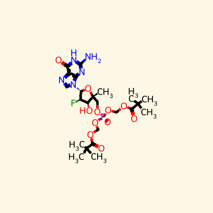 CC(C)(C)C(=O)OCOP(=O)(OCOC(=O)C(C)(C)C)OC[C@@]1(C)O[C@@H](n2cnc3c(=O)[nH]c(N)nc32)[C@H](F)[C@@H]1O